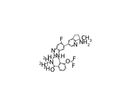 [2H]C([2H])([2H])N1C(=O)c2cccc(OC(F)F)c2[C@H]2C[C@@H]1c1nc3cc(F)c(-c4cnc5c(c4)CC[C@@]5(C)N)cc3n12